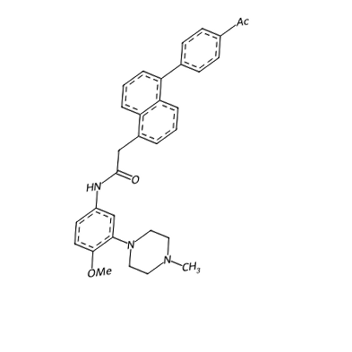 COc1ccc(NC(=O)Cc2cccc3c(-c4ccc(C(C)=O)cc4)cccc23)cc1N1CCN(C)CC1